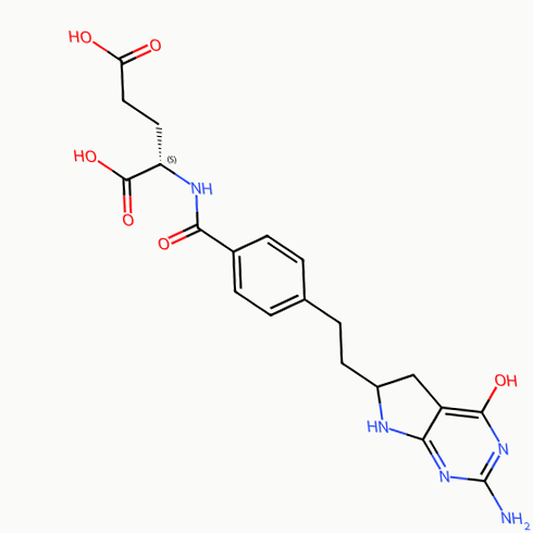 Nc1nc(O)c2c(n1)NC(CCc1ccc(C(=O)N[C@@H](CCC(=O)O)C(=O)O)cc1)C2